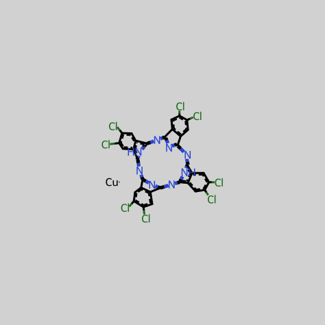 Clc1cc2c(cc1Cl)-c1nc-2nc2[nH]c(nc3nc(nc4[nH]c(n1)c1cc(Cl)c(Cl)cc41)-c1cc(Cl)c(Cl)cc1-3)c1cc(Cl)c(Cl)cc21.[Cu]